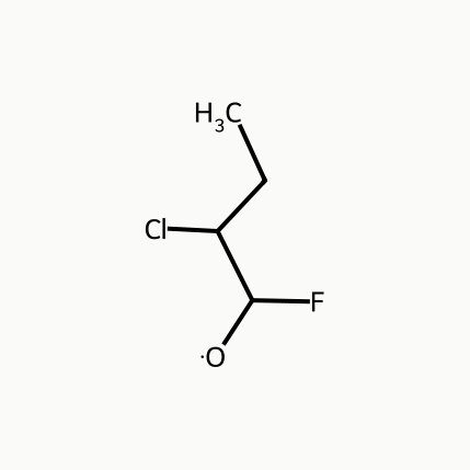 CCC(Cl)C([O])F